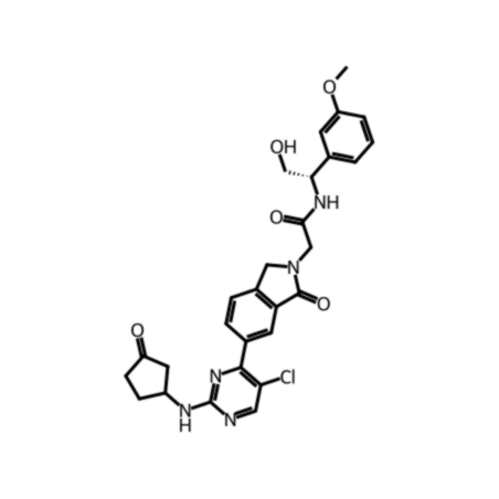 COc1cccc([C@@H](CO)NC(=O)CN2Cc3ccc(-c4nc(NC5CCC(=O)C5)ncc4Cl)cc3C2=O)c1